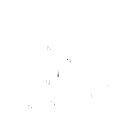 CC(O)(c1ccc(N2CCN(S(=O)(=O)c3cccs3)C[C@@H]2Cn2ccc3nccnc32)cc1)C(F)(F)F